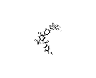 Cc1ccc(C(=O)Nc2cc(N3CCN(C(=O)OC(C)(C)C)CC3)c(Cl)cc2[N+](=O)[O-])cc1